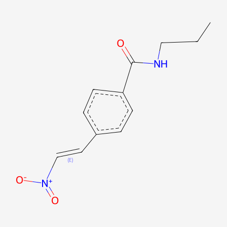 CCCNC(=O)c1ccc(/C=C/[N+](=O)[O-])cc1